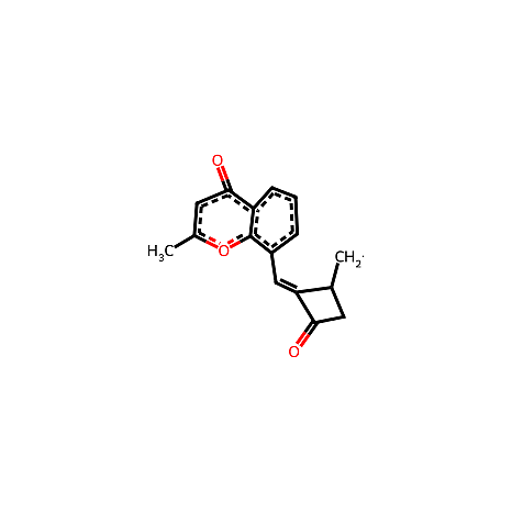 [CH2]C1CC(=O)C1=Cc1cccc2c(=O)cc(C)oc12